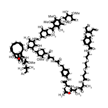 CCC(O)C(OC)C(O)C(O)Oc1c(I)c(C)c(C(=O)SC2C(O)CC(ONC3C(C)OC(O[C@H]4C#C/C=C\C#C[C@]5(O)CC(=O)C(NC(=O)OC)=C4/C5=C\CSSC(C)(C)CC(C)=O)C(OC4CC(OC)C(N(CC)C(=O)CNC(=O)OCc5ccc(NC(=O)[C@H](CC(N)=O)NC(=O)[C@H](C)NC(=O)[C@H](C)NC(=O)CCOCCOCCNC(=O)c6ccc7nc(CBr)c(CBr)nc7c6)cc5)CO4)C3O)OC2C)c(OC)c1OC